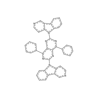 c1ccc(-c2nc(-n3c4ccccc4c4cnccc43)nc3c(-c4ccccc4)nc(-n4c5ccccc5c5cnccc54)nc23)cc1